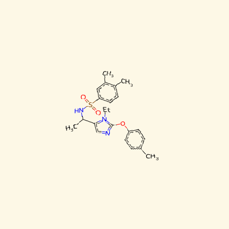 CCn1c(C(C)NS(=O)(=O)c2ccc(C)c(C)c2)cnc1Oc1ccc(C)cc1